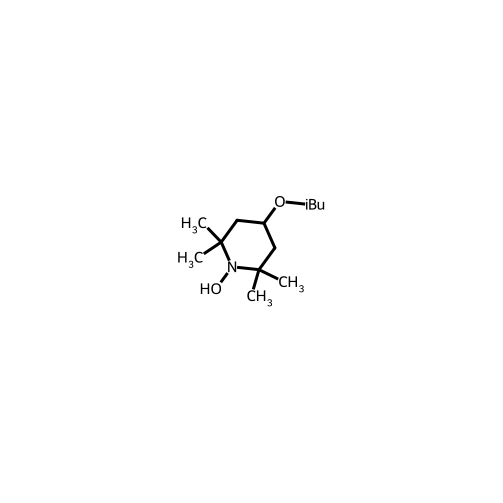 CCC(C)OC1CC(C)(C)N(O)C(C)(C)C1